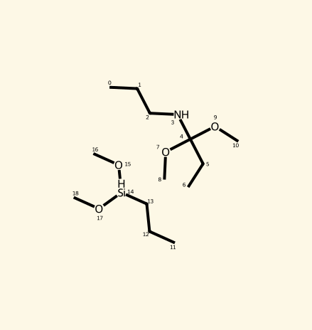 CCCNC(CC)(OC)OC.CCC[SiH](OC)OC